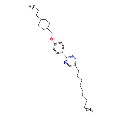 CCCCCCCCCc1cnc(-c2ccc(OCC3CCC(CCC)CC3)cc2)nc1